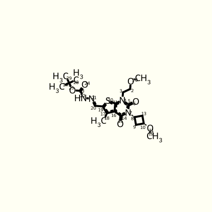 COCCn1c(=O)n([C@H]2C[C@@H](OC)C2)c(=O)c2c(C)c(C=NNC(=O)OC(C)(C)C)sc21